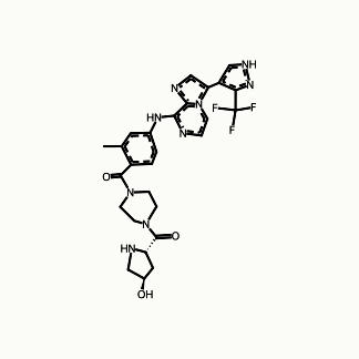 Cc1cc(Nc2nccn3c(-c4c[nH]nc4C(F)(F)F)cnc23)ccc1C(=O)N1CCN(C(=O)[C@@H]2C[C@@H](O)CN2)CC1